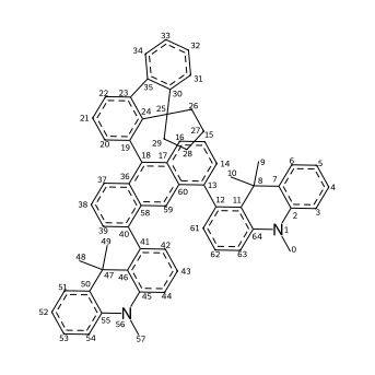 CN1c2ccccc2C(C)(C)c2c(-c3cccc4c(-c5cccc6c5C5(CCCC5)c5ccccc5-6)c5cccc(-c6cccc7c6C(C)(C)c6ccccc6N7C)c5cc34)cccc21